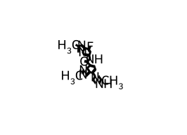 Cc1cn2cc(NC(=O)c3ccc(N4CCNC(C)C4)c4cn(C)nc34)cc(F)c2n1